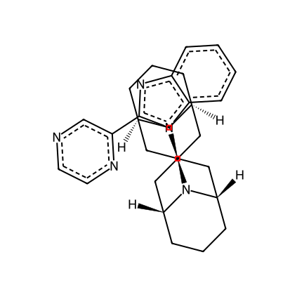 c1ccc2c(c1)nc(-c1cnccn1)n2[C@@H]1C[C@H]2CCC[C@@H](C1)N2[C@@H]1C[C@@H]2CCC[C@@H](C2)C1